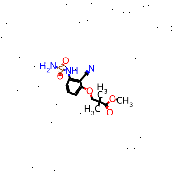 COC(=O)C(C)(C)COc1cccc(NS(N)(=O)=O)c1C#N